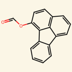 O=[C]Oc1ccc2cccc3c2c1-c1ccccc1-3